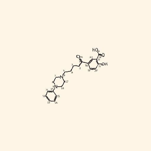 O=C(CCCCN1CCN(c2ccccc2)CC1)c1ccc(O)c(C(=O)O)c1